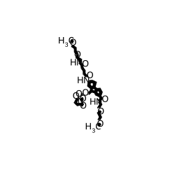 COCCCOCCNC(=O)CCCC(=O)Nc1ccc2c(c1)C(COC(=O)ON1C(=O)CCC1=O)c1cc(C(=O)NCCOCCCOC)ccc1-2